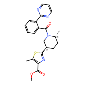 COC(=O)c1nc([C@@H]2CC[C@@H](C)N(C(=O)c3ccccc3-c3ncccn3)C2)sc1C